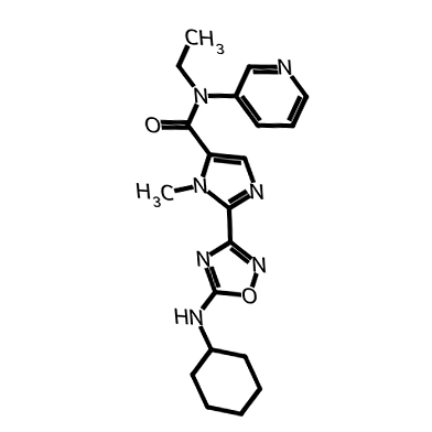 CCN(C(=O)c1cnc(-c2noc(NC3CCCCC3)n2)n1C)c1cccnc1